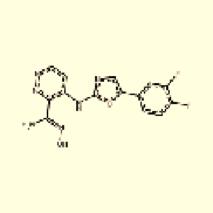 NC(=NO)c1nnccc1Nc1ncc(-c2ccc(F)c(F)c2)o1